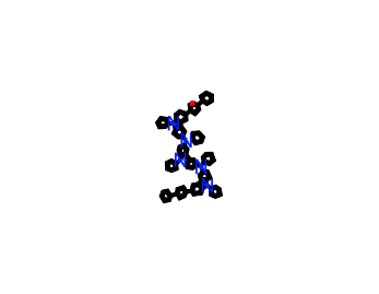 c1ccc(-c2ccc(-c3ccc4c(c3)c3cc(N(c5ccccc5)c5ccc6c(c5)c5cc(N(c7ccccc7)c7ccc8c(c7)c7cc(-c9ccc(-c%10ccccc%10)cc9)ccc7n8-c7ccccc7)ccc5n6-c5ccccc5)ccc3n4-c3ccccc3)cc2)cc1